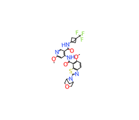 COc1cc(NC(=O)c2c(OC)ccc3nc(N4C5COCC4C5)sc23)c(C(=O)NC23CC(C(F)(F)F)(C2)C3)cn1